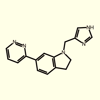 c1cnnc(-c2ccc3c(c2)N(Cc2c[nH]cn2)CC3)c1